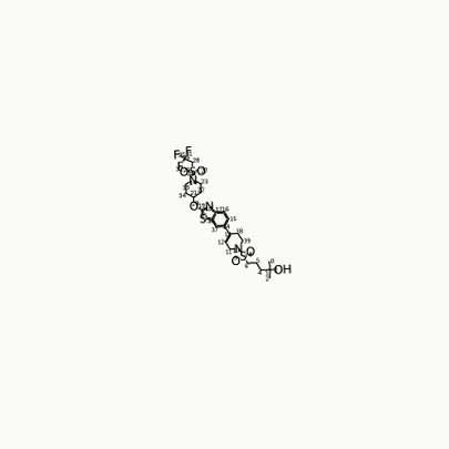 CC(C)(O)CCCS(=O)(=O)N1CC=C(c2ccc3nc(OC4CCN(S(=O)(=O)CC(F)(F)F)CC4)sc3c2)CC1